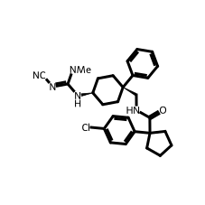 CN/C(=N\C#N)N[C@H]1CC[C@](CNC(=O)C2(c3ccc(Cl)cc3)CCCC2)(c2ccccc2)CC1